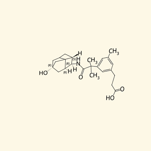 Cc1cc(CCC(=O)O)cc(C(C)(C)C(=O)N[C@H]2[C@@H]3CC4C[C@H]2C[C@](O)(C4)C3)c1